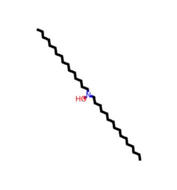 CCCCCCCCCCCCCCCCN(O)CCCCCCCCCCCCCCCC